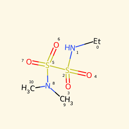 CCNS(=O)(=O)S(=O)(=O)N(C)C